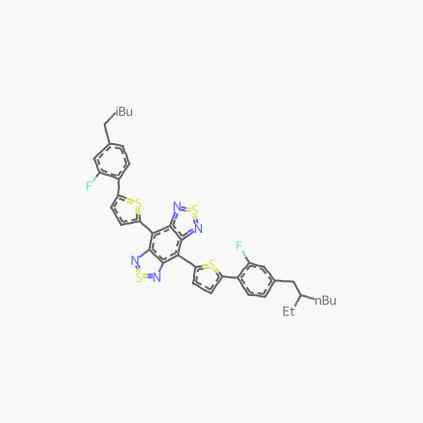 CCCCC(CC)Cc1ccc(-c2ccc(-c3c4c(c(-c5ccc(-c6ccc(CC(C)CC)cc6F)s5)c5nsnc35)N=S=N4)s2)c(F)c1